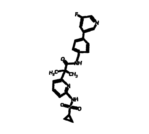 CC(C)(C(=O)Nc1ccc(-c2cncc(F)c2)cc1)c1cccc(NS(=O)(=O)C2CC2)n1